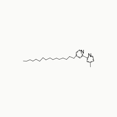 CCCCCCCCCCCCCCCCc1ccnc(-c2cc(C)ccn2)c1